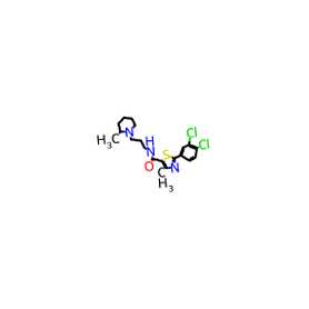 Cc1nc(-c2ccc(Cl)c(Cl)c2)sc1C(=O)NCCCN1CCCCC1C